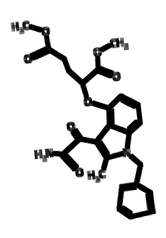 COC(=O)CCC(Oc1cccc2c1c(C(=O)C(N)=O)c(C)n2Cc1ccccc1)C(=O)OC